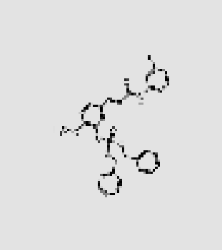 COc1ccc(/C=C/C(=O)Nc2cccc(Cl)c2)cc1OP(=O)(OCc1ccccc1)OCc1ccccc1